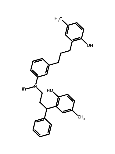 Cc1ccc(O)c(CCCc2cccc(N(CCC(c3ccccc3)c3cc(C)ccc3O)C(C)C)c2)c1